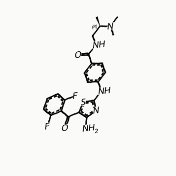 C[C@H](CNC(=O)c1ccc(Nc2nc(N)c(C(=O)c3c(F)cccc3F)s2)cc1)N(C)C